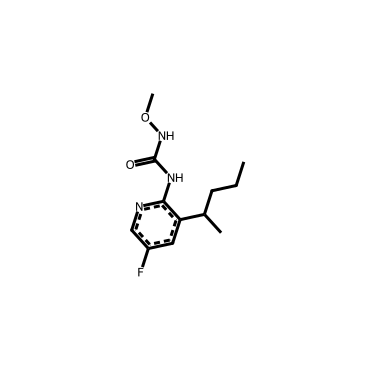 CCCC(C)c1cc(F)cnc1NC(=O)NOC